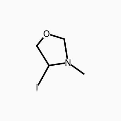 CN1COCC1I